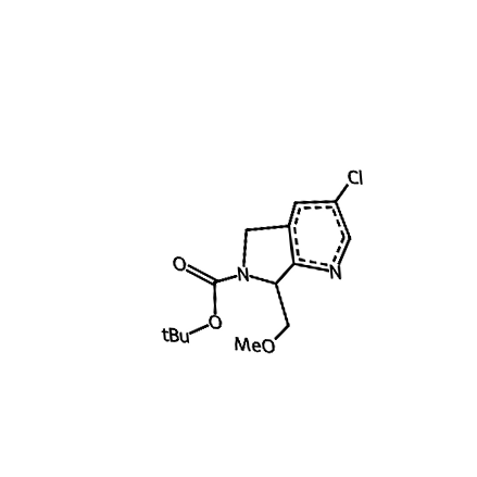 COCC1c2ncc(Cl)cc2CN1C(=O)OC(C)(C)C